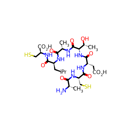 CC(C)C[C@H](NC(=O)[C@H](C)NC(=O)[C@@H](NC(=O)[C@H](CC(=O)O)NC(=O)[C@H](CS)NC(=O)[C@H](C)N)[C@@H](C)O)C(=O)N[C@@H](CS)C(=O)O